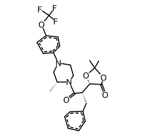 C[C@@H]1CN(c2ccc(OC(F)(F)F)cc2)CCN1C(=O)[C@@H](Cc1ccccc1)[C@@H]1OC(C)(C)OC1=O